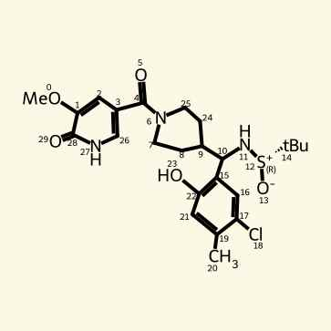 COc1cc(C(=O)N2CCC(C(N[S@@+]([O-])C(C)(C)C)c3cc(Cl)c(C)cc3O)CC2)c[nH]c1=O